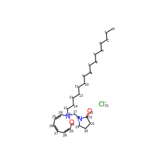 CCCCCCCCCCCCCCCC[N+]1(CN2CCCC2=O)C=CC=CC=CO1.[Cl-]